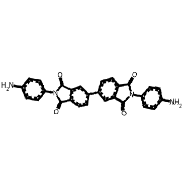 Nc1ccc(N2C(=O)c3ccc(-c4ccc5c(c4)C(=O)N(c4ccc(N)cc4)C5=O)cc3C2=O)cc1